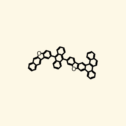 c1ccc2cc3c(cc2c1)oc1ccc(-c2c4ccccc4c(-c4ccc5c(c4)oc4cc6c7ccccc7c7ccc8ccccc8c7c6cc45)c4ccccc24)cc13